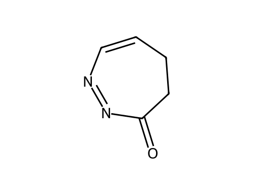 O=C1CCC=CN=N1